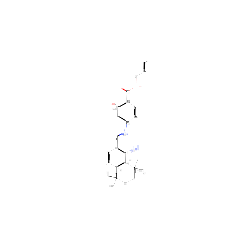 C=CCOC(=O)c1ccc(N=Cc2ccc3c(c2N)C(C)(C)CCC3(C)C)cc1O